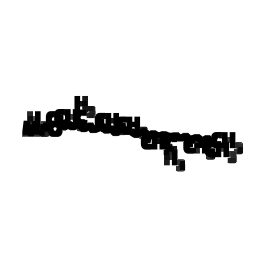 COC(C)(C)C/C=C/C(C)=C/C=C/C(C)=C/C=C/C(C)=C/C=C/C=C(\C)CC/C=C(\C)CC/C=C(\C)CCC=C(C)C